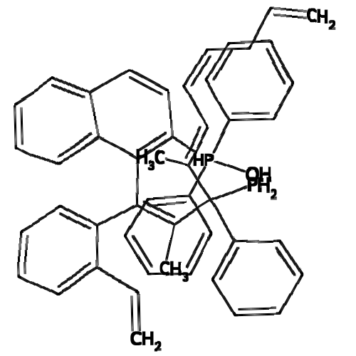 C=CC/C=C\C=C(/C)C(P)(/C(C)=C(/c1ccccc1C=C)c1c([PH](O)(c2ccccc2)c2ccccc2)ccc2ccccc12)c1ccccc1